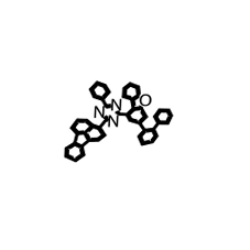 c1ccc(-c2nc(-c3ccc4c5c(cccc35)-c3ccccc3-4)nc(-c3cc(-c4ccccc4-c4ccccc4)cc4oc5ccccc5c34)n2)cc1